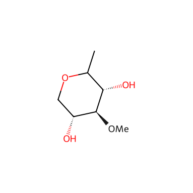 CO[C@H]1[C@H](O)COC(C)[C@@H]1O